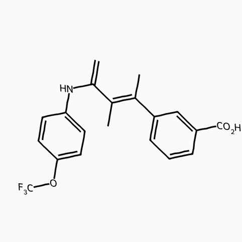 C=C(Nc1ccc(OC(F)(F)F)cc1)/C(C)=C(\C)c1cccc(C(=O)O)c1